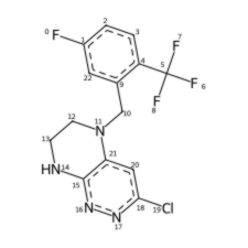 Fc1ccc(C(F)(F)F)c(CN2CCNc3nnc(Cl)cc32)c1